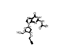 C#CCO[C@@H]1C[C@H](n2cnc3c(=O)[nH]c(NC(=O)C(C)C)nc32)O[C@@H]1CO